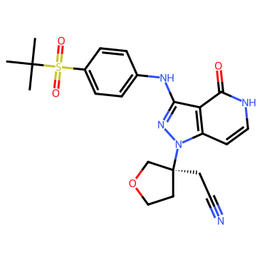 CC(C)(C)S(=O)(=O)c1ccc(Nc2nn([C@@]3(CC#N)CCOC3)c3cc[nH]c(=O)c23)cc1